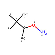 CCCC(C)(C)C(ON)C(C)=O